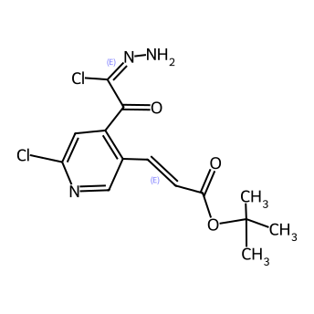 CC(C)(C)OC(=O)/C=C/c1cnc(Cl)cc1C(=O)/C(Cl)=N\N